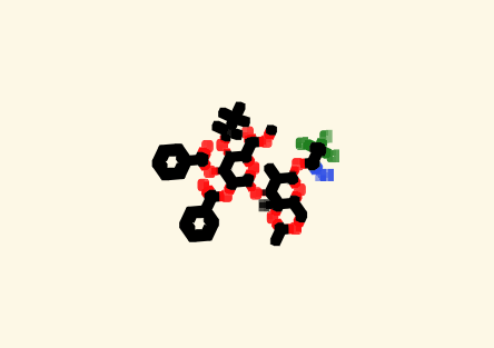 COC(=O)C1O[C@@H](O[C@@H]2C(C)[C@@H](OC(=N)C(Cl)(Cl)Cl)OC3COC(C)O[C@@H]32)C(OC(=O)c2ccccc2)[C@@H](OC(=O)c2ccccc2)[C@@H]1O[Si](C)(C)C(C)(C)C